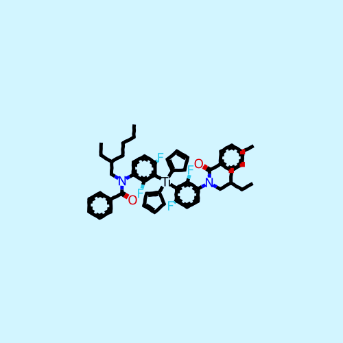 CCCCC(CC)CN(C(=O)c1ccccc1)c1ccc(F)[c]([Ti]([C]2=CC=CC2)([C]2=CC=CC2)[c]2c(F)ccc(N(CC(CC)CCCC)C(=O)c3ccccc3)c2F)c1F